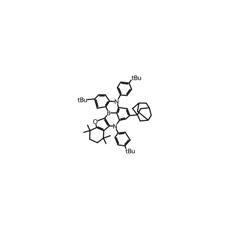 CC(C)(C)c1ccc(N2c3ccc(C(C)(C)C)cc3B3c4oc5c(c4N(c4ccc(C(C)(C)C)cc4)c4cc(C67CC8CC(CC(C8)C6)C7)cc2c43)C(C)(C)CCC5(C)C)cc1